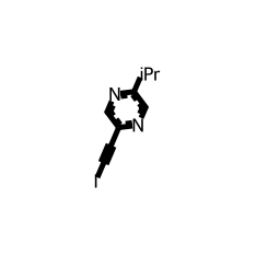 CC(C)c1cnc(C#CI)cn1